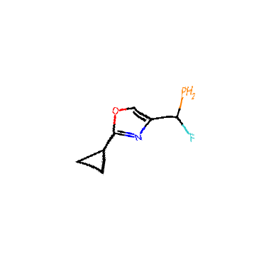 FC(P)c1coc(C2CC2)n1